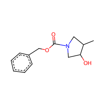 CC1CN(C(=O)OCc2ccccc2)CC1O